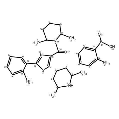 CC1CCCC(C)N1.CC1CCCC(C)N1C(=O)c1csc(-c2ccccc2N)n1.Nc1ccccc1B(O)O